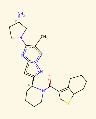 Cc1cn2nc([C@@H]3CCCCN3C(=O)C3=C4CCCCC4SC3)cc2nc1N1CC[C@H](N)C1